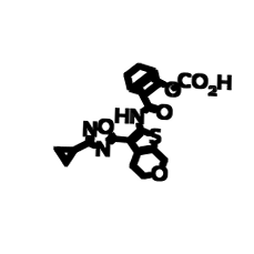 O=C(O)OC1=C(C(=O)Nc2sc3c(c2-c2nc(C4CC4)no2)CCOC3)C2CCC1CC2